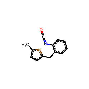 Cc1ccc(Cc2ccccc2N=C=O)s1